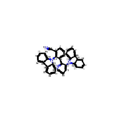 N#Cc1cccc(-c2ncccc2-n2c3ccccc3c3ccccc32)c1-n1c2ccccc2c2ccccc21